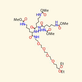 CCOC(CCCOCCOCCOCCOCCNC(=O)C(CCCCNC(=O)OC)NC(=O)C(CCCCNC(=O)OC)NC(=O)C(CCCCNC(=O)OC)NC(=O)OC)OCC